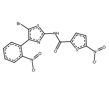 O=C(Nc1nc(-c2ccccc2[N+](=O)[O-])c(Br)s1)c1ccc([N+](=O)[O-])s1